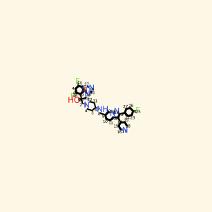 O[C@](CN1CCC(NCc2ccc3c(-c4ccncc4)c(-c4ccc(F)cc4)nn3c2)CC1)(Cn1cncn1)c1ccc(F)cc1F